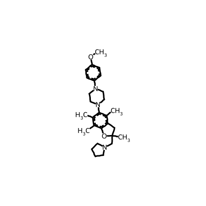 COc1ccc(N2CCN(c3c(C)c(C)c4c(c3C)CC(C)(CN3CCCC3)O4)CC2)cc1